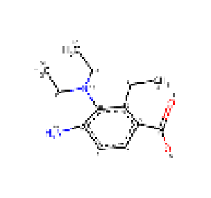 CCc1c(C(=O)O)ccc(N)c1N(CC)CC